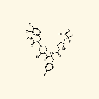 CCC1CN(C(Cc2ccc(Cl)c(Cl)c2)C(=O)NC)CCN1C(=O)C(Cc1ccc(F)cc1)NC(=O)C1CCCN1.O=C(O)C(F)(F)F